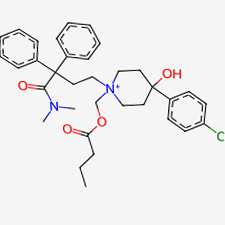 CCCC(=O)OC[N+]1(CCC(C(=O)N(C)C)(c2ccccc2)c2ccccc2)CCC(O)(c2ccc(Cl)cc2)CC1